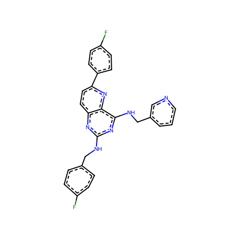 Fc1ccc(CNc2nc(NCc3cccnc3)c3nc(-c4ccc(F)cc4)ccc3n2)cc1